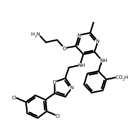 Cc1nc(Nc2ccccc2C(=O)O)c(NCc2ncc(-c3cc(Cl)ccc3Cl)o2)c(OCCN)n1